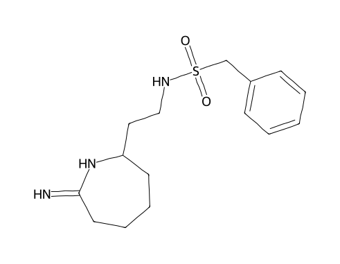 N=C1CCCCC(CCNS(=O)(=O)Cc2ccccc2)N1